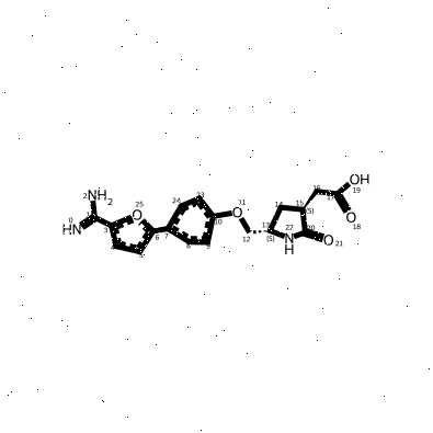 N=C(N)c1ccc(-c2ccc(OC[C@@H]3C[C@@H](CC(=O)O)C(=O)N3)cc2)o1